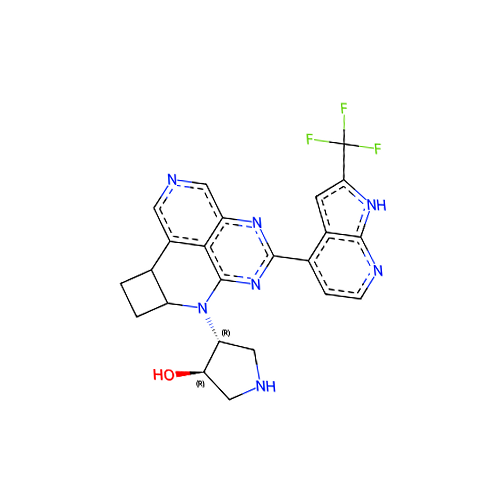 O[C@@H]1CNC[C@H]1N1c2nc(-c3ccnc4[nH]c(C(F)(F)F)cc34)nc3cncc(c23)C2CCC21